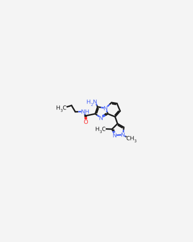 CCCNC(=O)c1nc2c(-c3cn(C)nc3C)cccn2c1N